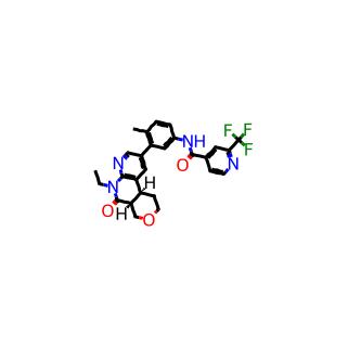 CCN1C(=O)[C@H]2COCC[C@@H]2c2cc(-c3cc(NC(=O)c4ccnc(C(F)(F)F)c4)ccc3C)cnc21